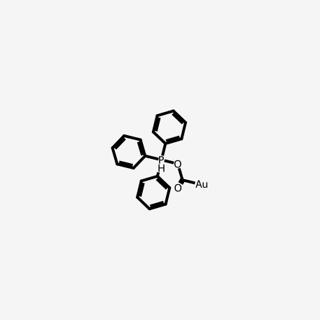 O=[C]([Au])O[PH](c1ccccc1)(c1ccccc1)c1ccccc1